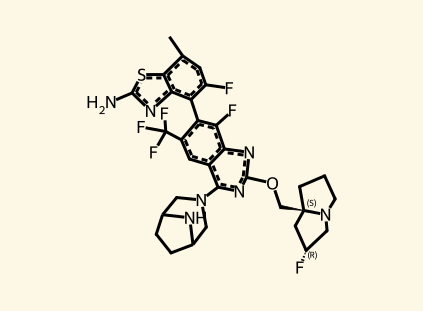 Cc1cc(F)c(-c2c(C(F)(F)F)cc3c(N4CC5CCC(C4)N5)nc(OC[C@@]45CCCN4C[C@H](F)C5)nc3c2F)c2nc(N)sc12